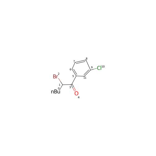 CCCCC(Br)C(=O)c1cccc(Cl)c1